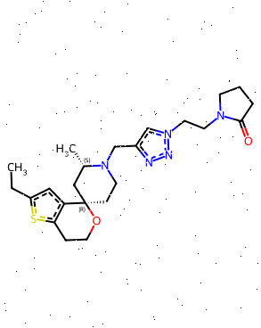 CCc1cc2c(s1)CCO[C@@]21CCN(Cc2cn(CCN3CCCC3=O)nn2)[C@@H](C)C1